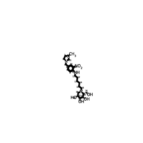 CN1CCN(Cc2ccc(NCCCCCCN3C[C@H](O)[C@@H](O)[C@H](O)[C@H]3CO)c([N+](=O)[O-])c2)C1